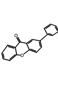 O=c1c2ccccc2oc2ccc(-c3ccccc3)cc12